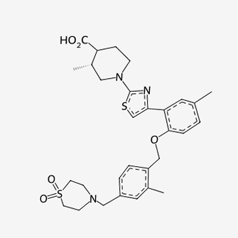 Cc1ccc(OCc2ccc(CN3CCS(=O)(=O)CC3)cc2C)c(-c2csc(N3CCC(C(=O)O)[C@@H](C)C3)n2)c1